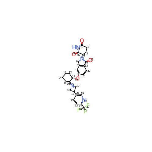 O=C1CC[C@H](N2Cc3cc(O[C@H]4CCCC[C@@H]4N4CC(c5ccc(C(F)(F)F)nc5)C4)ccc3C2=O)C(=O)N1